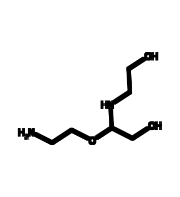 NCCOC(CO)NCCO